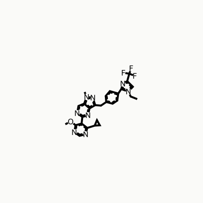 CCn1cc(C(F)(F)F)nc1-c1ccc(Cc2nn(C)c3cnc(-c4c(OC)ncnc4C4CC4)nc23)cc1